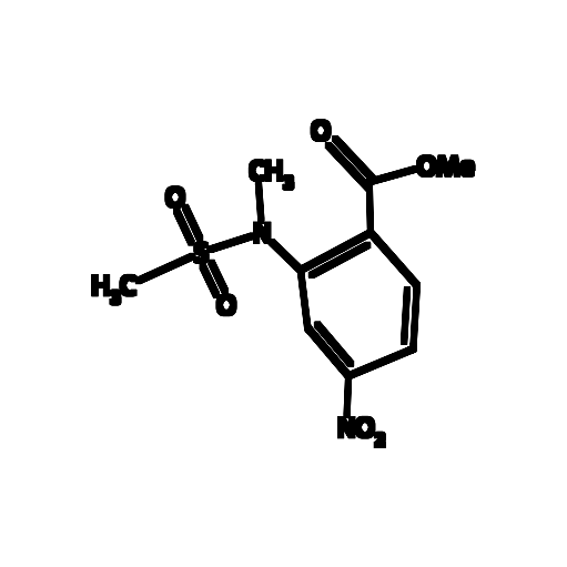 COC(=O)c1ccc([N+](=O)[O-])cc1N(C)S(C)(=O)=O